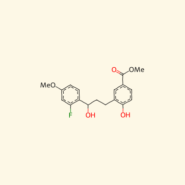 COC(=O)c1ccc(O)c(CCC(O)c2ccc(OC)cc2F)c1